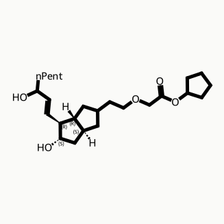 CCCCCC(O)C=C[C@H]1[C@@H]2CC(CCOCC(=O)OC3CCCC3)C[C@H]2C[C@@H]1O